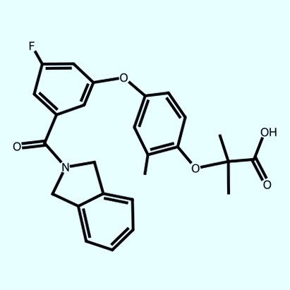 Cc1cc(Oc2cc(F)cc(C(=O)N3Cc4ccccc4C3)c2)ccc1OC(C)(C)C(=O)O